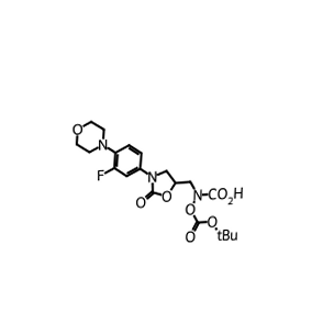 CC(C)(C)OC(=O)ON(CC1CN(c2ccc(N3CCOCC3)c(F)c2)C(=O)O1)C(=O)O